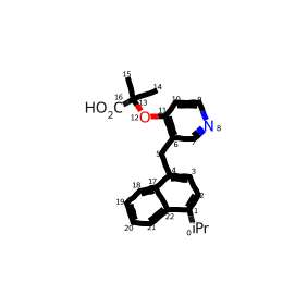 CC(C)c1ccc(Cc2cnccc2OC(C)(C)C(=O)O)c2ccccc12